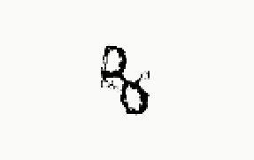 Cc1ncccc1-c1ccccc1Cl